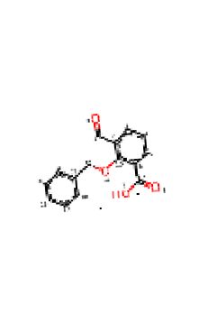 O=Cc1cccc(C(=O)O)c1OCc1ccccc1